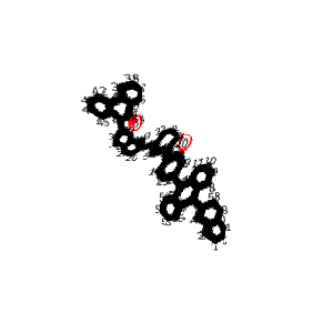 c1ccc2cc(-c3c4ccccc4c(-c4ccc5c(c4)oc4ccc(-c6ccc7ccc8c(oc9c%10ccccc%10c%10ccccc%10c89)c7c6)cc45)c4ccccc34)ccc2c1